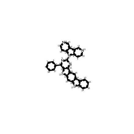 c1ccc(-c2nc(-n3c4ccncc4c4cnccc43)nc3c2sc2cc4sc5ccccc5c4cc23)cc1